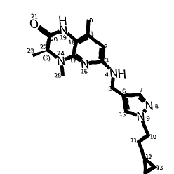 Cc1cc(NCc2cnn(CCC3CC3)c2)nc2c1NC(=O)[C@H](C)N2C